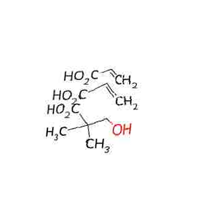 C=CC(=O)O.C=CC(=O)O.CC(C)(CO)C(=O)O